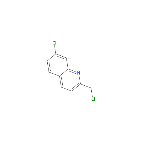 ClCc1ccc2ccc(Cl)cc2n1